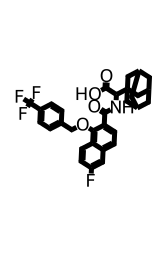 O=C(NC(C(=O)O)C12CC3CC(CC(C3)C1)C2)c1ccc2cc(F)ccc2c1OCc1ccc(C(F)(F)F)cc1